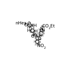 CCCCCCOC(=O)NC(=N)c1ccc(C(=O)N[C@@H](Cc2ccc([N+](=O)[O-])cc2)C(=O)N2CCc3nn(CC(=O)OCC)cc3C2)cc1